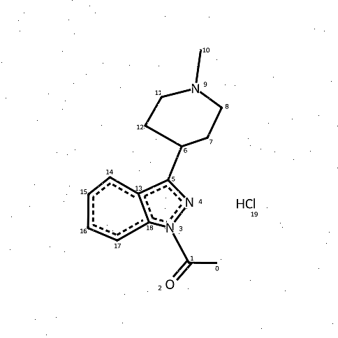 CC(=O)n1nc(C2CCN(C)CC2)c2ccccc21.Cl